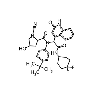 CC(C)(C)c1ccc(N(C(=O)C2CC(O)CN2C#N)C(C(=O)NC2CCC(F)(F)CC2)c2cc(=O)[nH]c3ccccc23)cc1